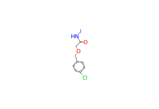 O=C(COCc1ccc(Cl)cc1)NI